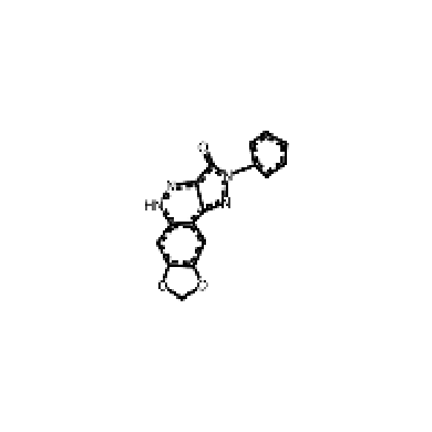 O=c1c2n[nH]c3cc4c(cc3c-2nn1-c1ccccc1)OCO4